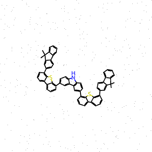 CC1(C)c2ccccc2-c2ccc(-c3cccc4c3sc3c(-c5ccc6[nH]c7ccc(-c8cccc9c8sc8c(-c%10ccc%11c(c%10)C(C)(C)c%10ccccc%10-%11)cccc89)cc7c6c5)cccc34)cc21